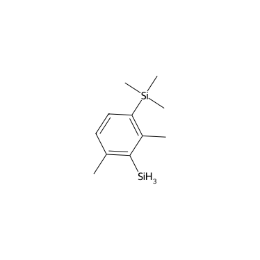 Cc1ccc([Si](C)(C)C)c(C)c1[SiH3]